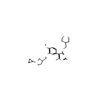 COc1ccc(-c2c(C)nc(N)nc2NCC2CCOCC2)cc1OCC1CCN(C2CC2)C1